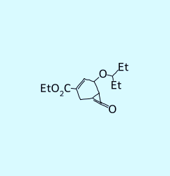 CCOC(=O)C1=CC(OC(CC)CC)C2C(=O)C2C1